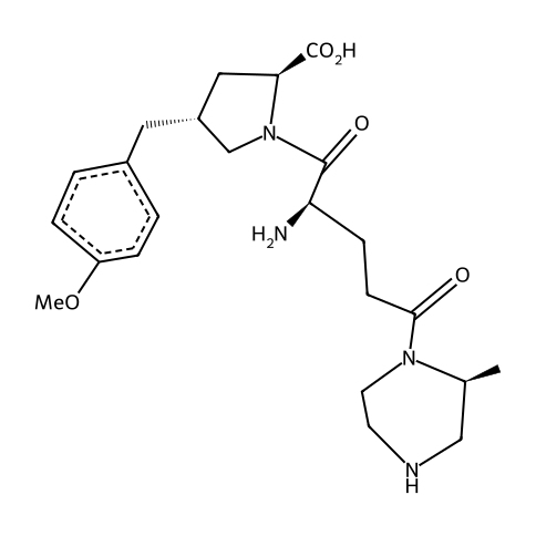 COc1ccc(C[C@@H]2C[C@@H](C(=O)O)N(C(=O)[C@H](N)CCC(=O)N3CCNC[C@@H]3C)C2)cc1